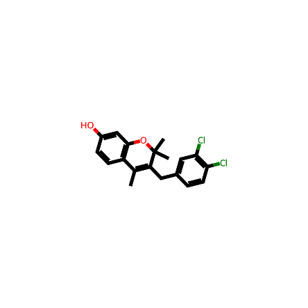 CC1=C(Cc2ccc(Cl)c(Cl)c2)C(C)(C)Oc2cc(O)ccc21